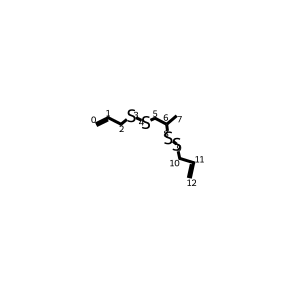 C=CCSSCC(C)SSCC=C